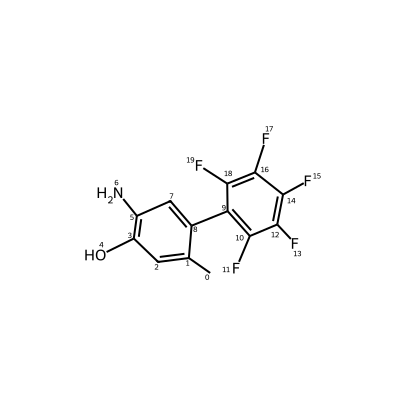 Cc1cc(O)c(N)cc1-c1c(F)c(F)c(F)c(F)c1F